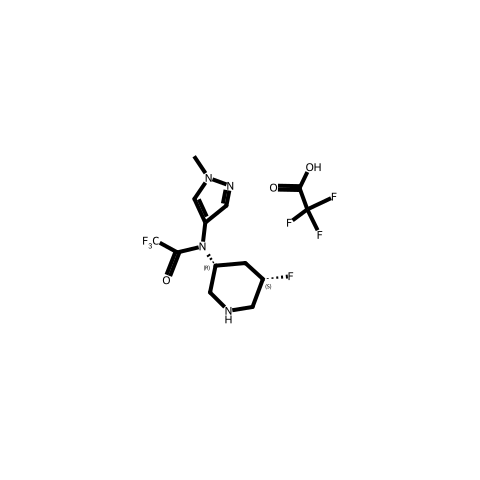 Cn1cc(N(C(=O)C(F)(F)F)[C@H]2CNC[C@@H](F)C2)cn1.O=C(O)C(F)(F)F